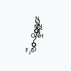 Cc1nc(N2CCN(C)CC2)nc2ccc(NC(=O)CCc3ccc(OC(F)(F)F)cc3)nc12